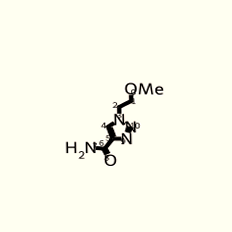 COCCn1cc(C(N)=O)nn1